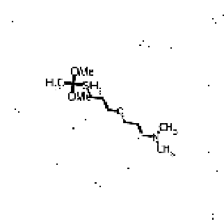 COC(C)(OC)[SiH2]CCCOCCCN(C)C